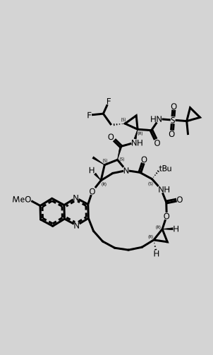 COc1ccc2nc3c(nc2c1)O[C@H]1CN(C(=O)[C@H](C(C)(C)C)NC(=O)O[C@@H]2C[C@H]2CCCCC3)[C@H](C(=O)N[C@]2(C(=O)NS(=O)(=O)C3(C)CC3)C[C@H]2CC(F)F)[C@@H]1C